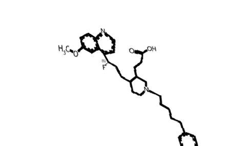 COc1ccc2nccc([C@@H](F)CCC3CCN(CCCCCc4ccncc4)CC3CCC(=O)O)c2c1